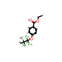 CCOC(=O)c1ccc(OC(F)(F)C(C)(F)F)cc1